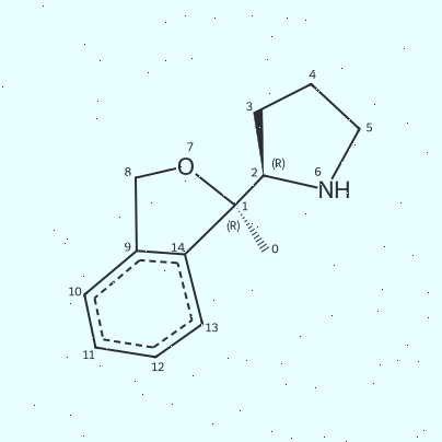 C[C@@]1([C@H]2CCCN2)OCc2ccccc21